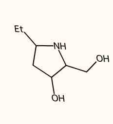 CCC1CC(O)C(CO)N1